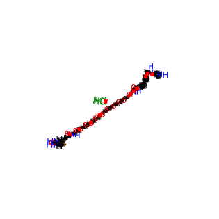 Cl.Cl.O=C(CCCC[C@@H]1SC[C@@H]2NC(=O)N[C@@H]21)NCCOCCOCCOCCOCCOCCOCCOCCOCCOCCOCCOCCNC(=O)CCc1cccc(-c2ccc([C@@H]3C[C@H]3NCC3CCNCC3)cc2)c1